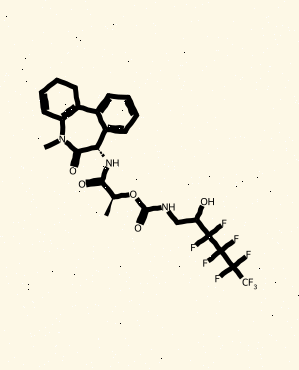 C[C@H](OC(=O)NCC(O)C(F)(F)C(F)(F)C(F)(F)C(F)(F)F)C(=O)N[C@@H]1C(=O)N(C)C2=C(CCC=C2)c2ccccc21